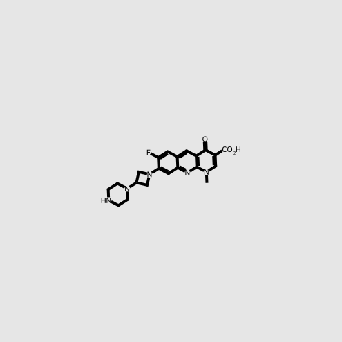 Cn1cc(C(=O)O)c(=O)c2cc3cc(F)c(N4CC(N5CCNCC5)C4)cc3nc21